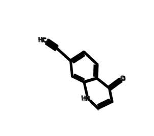 C#Cc1ccc2c(=O)c[c][nH]c2c1